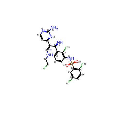 N=C(/C(=C\NCCF)c1ccnc(N)n1)c1cccc(NS(=O)(=O)c2cc(F)ccc2F)c1F